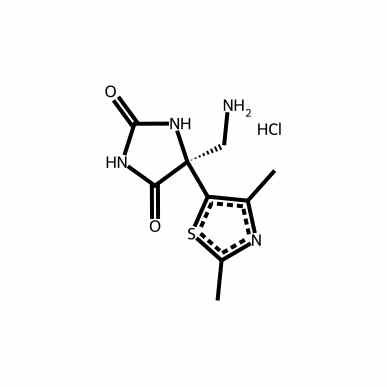 Cc1nc(C)c([C@]2(CN)NC(=O)NC2=O)s1.Cl